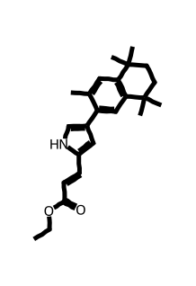 CCOC(=O)C=Cc1cc(-c2cc3c(cc2C)C(C)(C)CCC3(C)C)c[nH]1